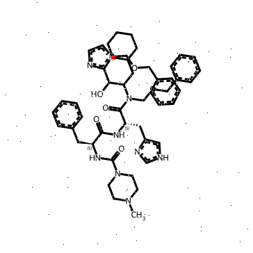 CN1CCN(C(=O)N[C@@H](Cc2ccccc2)C(=O)N[C@@H](Cc2c[nH]cn2)C(=O)N(COCc2ccccc2)C(CC2CCCCC2)C(O)c2nccn2COCc2ccccc2)CC1